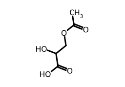 CC(=O)OCC(O)C(=O)O